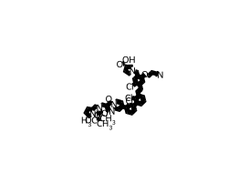 CC(C)(C)OC(=O)N(Cc1cnc2cc(-c3cccc(-c4cccc(/C=C/c5cc(OCCC#N)c(CN6CC[C@H](C(=O)O)C6)cc5Cl)c4Cl)c3Cl)ccn2c1=O)CC1CCC(=O)N1